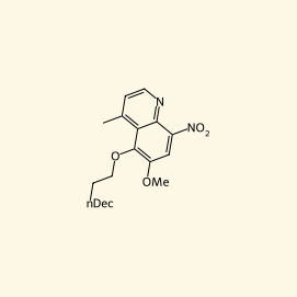 CCCCCCCCCCCCOc1c(OC)cc([N+](=O)[O-])c2nccc(C)c12